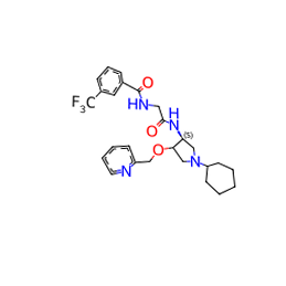 O=C(CNC(=O)c1cccc(C(F)(F)F)c1)N[C@H]1CN(C2CCCCC2)CC1OCc1ccccn1